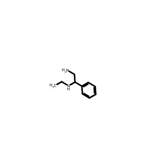 C[CH]NC(CN)c1ccccc1